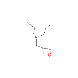 CCC[C](CCC)CC1COC1